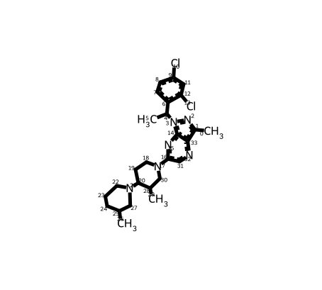 Cc1nn(C(C)c2ccc(Cl)cc2Cl)c2nc(N3CCC(N4CCCC(C)C4)C(C)C3)cnc12